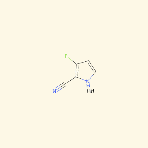 N#Cc1[nH]ccc1F.[HH]